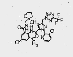 Cc1cc(Cl)cc(C(=O)NCC2(C)CCCO2)c1NC(=O)c1cc(Cn2nnc(C(F)(F)F)n2)nn1-c1ncccc1Cl